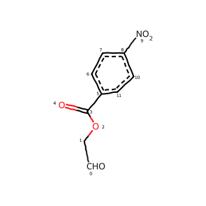 O=CCOC(=O)c1ccc([N+](=O)[O-])cc1